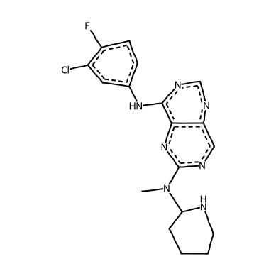 CN(c1ncc2ncnc(Nc3ccc(F)c(Cl)c3)c2n1)C1CCCCN1